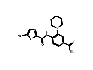 N#Cc1ccc(C(=O)Nc2ccc(C(N)=O)cc2N2CCCCC2)o1